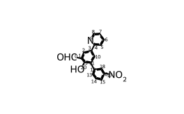 O=Cc1cc(-c2ccccn2)cc(-c2cccc([N+](=O)[O-])c2)c1O